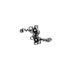 O=C=CCCCCOc1c(Cl)c(Cl)cc(Cl)c1OC(=O)C(=O)Oc1c(Cl)cc(Cl)c(Cl)c1OCCCCC=C=O